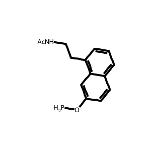 CC(=O)NCCc1cccc2ccc(OP)cc12